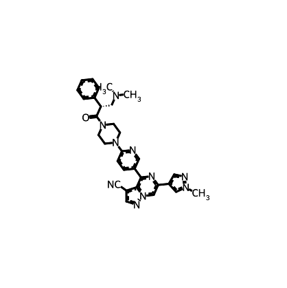 CN(C)C[C@H](C(=O)N1CCN(c2ccc(-c3nc(-c4cnn(C)c4)cn4ncc(C#N)c34)cn2)CC1)c1ccccc1